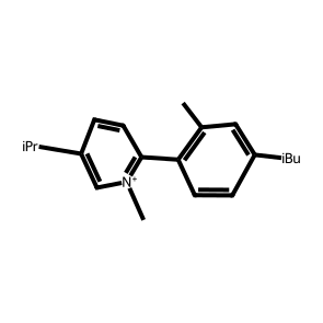 CCC(C)c1ccc(-c2ccc(C(C)C)c[n+]2C)c(C)c1